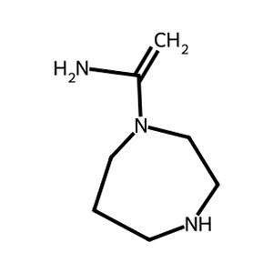 C=C(N)N1CCCNCC1